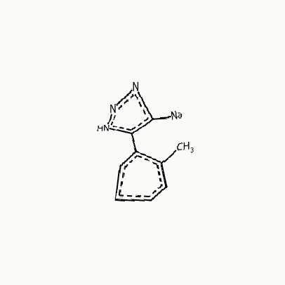 Cc1ccccc1-c1[nH]nn[c]1[Na]